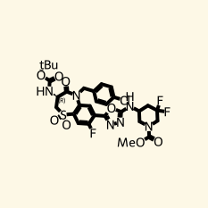 COC(=O)N1CC(Nc2nnc(-c3cc4c(cc3F)S(=O)(=O)C[C@H](NC(=O)OC(C)(C)C)C(=O)N4Cc3ccc(Cl)cc3)o2)CC(F)(F)C1